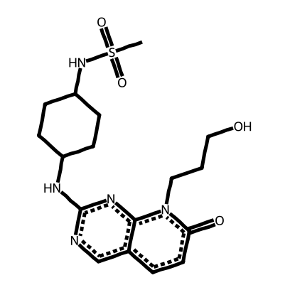 CS(=O)(=O)NC1CCC(Nc2ncc3ccc(=O)n(CCCO)c3n2)CC1